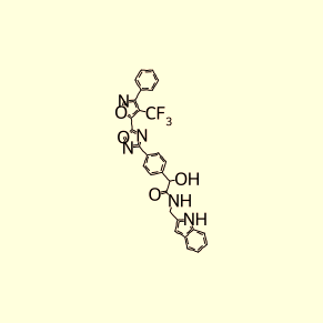 O=C(NCc1cc2ccccc2[nH]1)C(O)c1ccc(-c2noc(-c3onc(-c4ccccc4)c3C(F)(F)F)n2)cc1